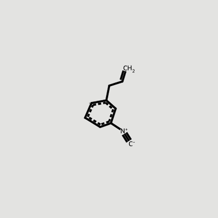 [C-]#[N+]c1cc[c]c(CC=C)c1